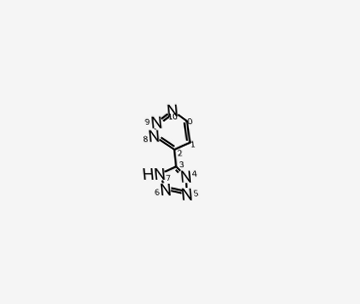 c1cc(-c2nnn[nH]2)nnn1